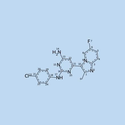 Cc1nc2ccc(F)cn2c1-c1cc(N)nc(Nc2ccc(Cl)cc2)n1